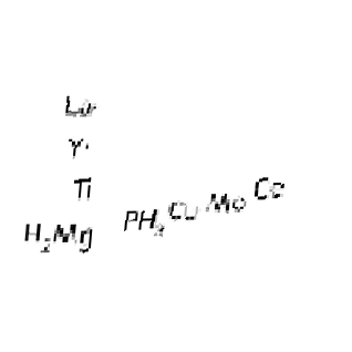 P.[Ce].[Cu].[La].[MgH2].[Mo].[Ti].[Y]